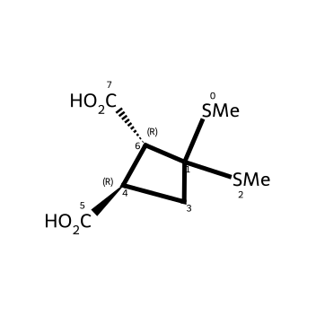 CSC1(SC)C[C@@H](C(=O)O)[C@@H]1C(=O)O